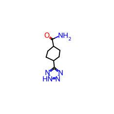 NC(=O)C1CCC(c2nn[nH]n2)CC1